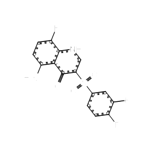 Cc1ccc(F)c2[nH]cc(S(=O)(=O)c3ccc(F)c(F)c3)c(=O)c12